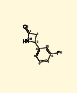 O=C1CC(c2cccc(F)c2)N1